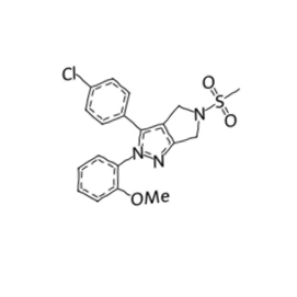 COc1ccccc1-n1nc2c(c1-c1ccc(Cl)cc1)CN(S(C)(=O)=O)C2